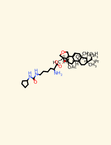 CC(=O)O[C@@H]1C[C@@]23COC[C@](C)([C@@H]2CC[C@H]2C3=CC[C@@]3(C)[C@H](C(=O)O)[C@@](C)([C@H](C)C(C)C)CC[C@]23C)[C@H]1OC(=O)C(N)CCCCNC(=O)NC1CCCC1